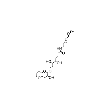 CCOCCOCCNC(=O)CCC[C@@H](O)[C@@H](O)CCOC1OC2CCCOC2CC1O